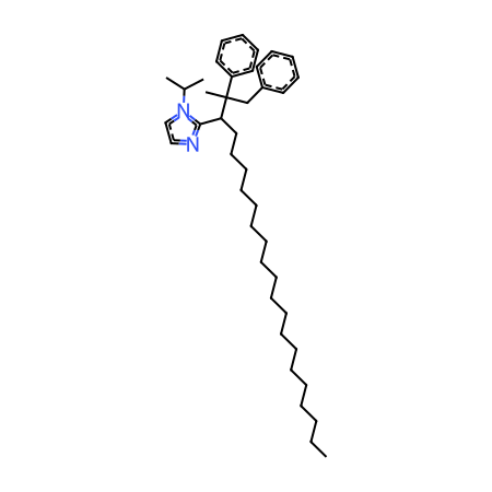 CCCCCCCCCCCCCCCCCCCC(c1nccn1C(C)C)C(C)(Cc1ccccc1)c1ccccc1